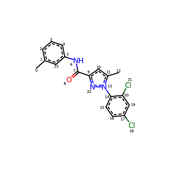 Cc1cccc(NC(=O)c2cc(C)n(-c3ccc(Cl)cc3Cl)n2)c1